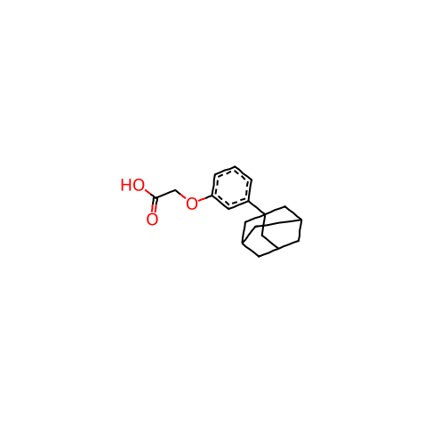 O=C(O)COc1cccc(C23CC4CC(CC(C4)C2)C3)c1